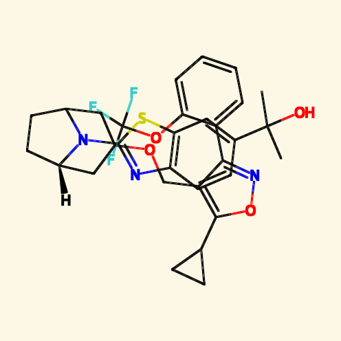 CC(C)(O)c1ccc2nc(N3C4CC[C@H]3CC(OCc3c(-c5ccccc5OC(F)(F)F)noc3C3CC3)C4)sc2c1